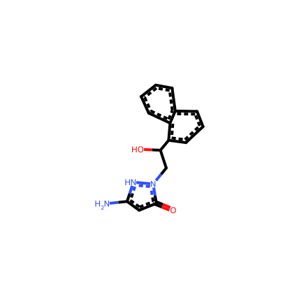 Nc1cc(=O)n(CC(O)c2cccc3ccccc23)[nH]1